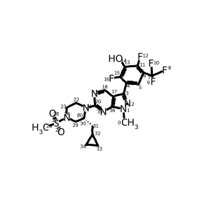 Cn1nc(-c2cc(C(F)(F)F)c(F)c(O)c2F)c2cnc(N3CCN(S(C)(=O)=O)C[C@H]3CC3CC3)nc21